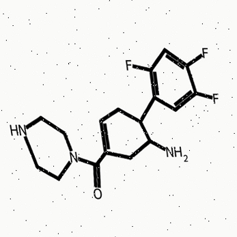 NC1CC(C(=O)N2CCNCC2)=CCC1c1cc(F)c(F)cc1F